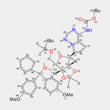 COc1ccc(C(OC[C@]2(CO[Si](C)(C)C(C)(C)C)O[C@@H](c3ccc4c(NC(=O)OC(C)(C)C)ncnn34)[C@@H]3OC(C)(C)O[C@@H]32)(c2ccccc2)c2ccc(OC)cc2)cc1